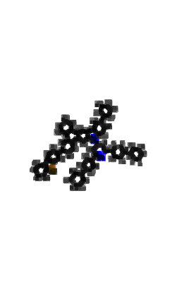 c1ccc(-c2ccc(-c3cc(-n4c5ccc(-c6ccccc6)cc5c5cc6c7ccccc7c7cc(-c8ccc9c(c8)sc8ccccc89)ccc7c6cc54)cc(-c4ccc(-c5ccccc5)cc4)n3)cc2)cc1